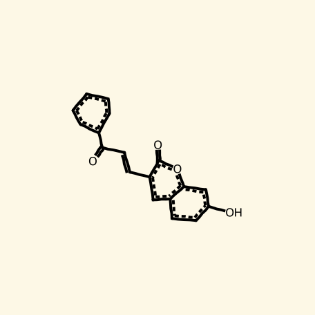 O=C(/C=C/c1cc2ccc(O)cc2oc1=O)c1ccccc1